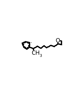 CC(CCCCCCC1CCO1)c1[c]cccc1